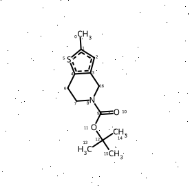 Cc1cc2c(s1)CCN(C(=O)OC(C)(C)C)C2